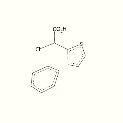 O=C(O)C(Cl)c1cccs1.c1ccccc1